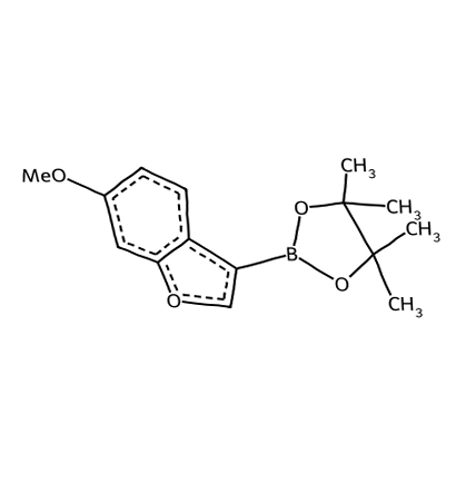 COc1ccc2c(B3OC(C)(C)C(C)(C)O3)coc2c1